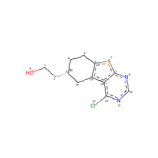 OCC[C@@H]1CCc2sc3ncnc(Cl)c3c2C1